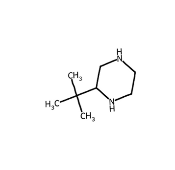 CC(C)(C)C1CNCCN1